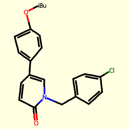 CCC(C)Oc1ccc(-c2ccc(=O)n(Cc3ccc(Cl)cc3)c2)cc1